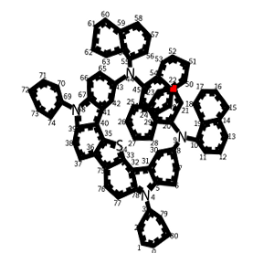 c1ccc(-n2c3ccc(N(c4cccc5ccccc45)c4cccc5ccccc45)cc3c3c4sc5c(ccc6c5c5cc(N(c7cccc8ccccc78)c7cccc8ccccc78)ccc5n6-c5ccccc5)c4ccc32)cc1